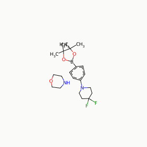 C1COCCN1.CC1(C)OB(c2ccc(N3CCC(F)(F)CC3)cc2)OC1(C)C